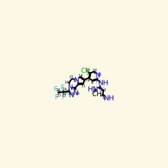 CN/C(=C\C=N)Nc1cc(-c2cc3n(c2)CCn2c-3nnc2C(F)(F)C(F)F)c(Cl)cn1